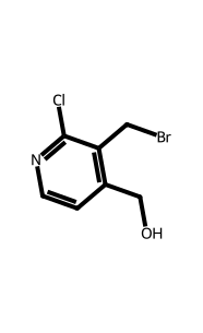 OCc1ccnc(Cl)c1CBr